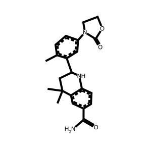 Cc1ccc(N2CCOC2=O)cc1C1CC(C)(C)c2cc(C(N)=O)ccc2N1